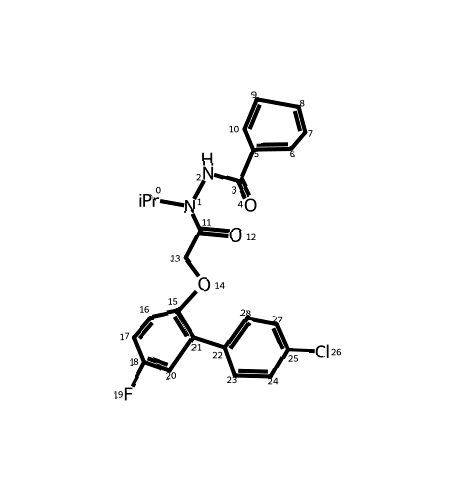 CC(C)N(NC(=O)c1ccccc1)C(=O)COc1ccc(F)cc1-c1ccc(Cl)cc1